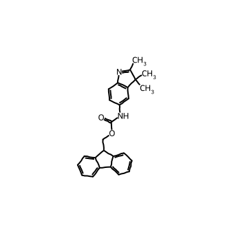 CC1=Nc2ccc(NC(=O)OCC3c4ccccc4-c4ccccc43)cc2C1(C)C